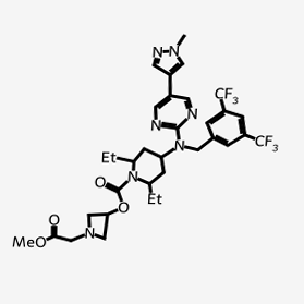 CCC1CC(N(Cc2cc(C(F)(F)F)cc(C(F)(F)F)c2)c2ncc(-c3cnn(C)c3)cn2)CC(CC)N1C(=O)OC1CN(CC(=O)OC)C1